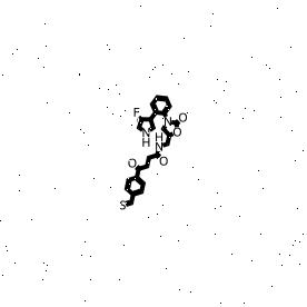 O=C(CCC(=O)c1ccc(C=S)cc1)NCC1CN(c2ccccc2C2CNC[C@H]2F)C(=O)O1